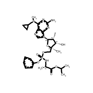 CC(C)OC(=O)[C@H](C)NP(=O)(OC[C@@]1(C)O[C@@H](n2cnc3c(N(C)C4CC4)nc(N)nc32)[C@H](F)[C@@H]1O)Oc1ccccc1